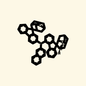 c1ccc2c(c1)-c1ccc(N(c3ccc4ccccc4c3)c3cccc4c3-c3ccccc3C43C4CC5CC[C@H]3CC(C5)C4)cc1C21C2CCC3CC(C2)CC1C3